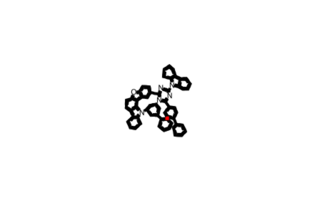 c1ccc(-c2ccc(-c3nc(-c4ccc5oc6ccc7c8ccccc8n(-c8cccc(-c9ccccc9)c8)c7c6c5c4)nc(-n4c5ccccc5c5ccccc54)n3)cc2)cc1